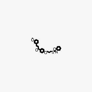 COc1cccc(C=CC(=O)c2ccc(OCCCSc3nc4ccccc4o3)cc2)c1